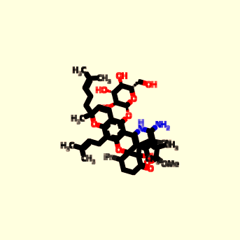 COC(=O)/C(C)=C\CC1(O)C(=O)CCC(C(C)C)C12Oc1c(CC=C(C)C)c3c(c(O[C@H]4O[C@@H](CO)[C@H](O)[C@@H](O)[C@@H]4O)c1C1=C2C(C)C(C#N)=C(N)N1)C=CC(C)(CCC=C(C)C)O3